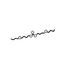 CCCCOCCCCOC(=O)OCCCCOCCCC